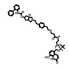 CN(CCNC[C@H](O[Si](C)(C)C(C)(C)C)c1ccc(O)c2[nH]c(=O)ccc12)C(=O)CCOCCc1ccc(CCN2CC3CC(OC(=O)Nc4ccccc4-c4ccccc4)C[C@H]3C2)cc1